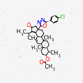 CC(=O)OC1CCC2(C)C(CCC3(C)C4CCC5(c6nnc(-c7ccc(Cl)cc7)o6)CC(=O)C(C(C)C)=C5C4CCC32)C1C